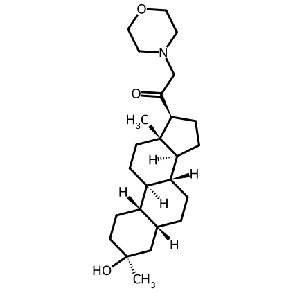 C[C@]1(O)CC[C@H]2[C@H](CC[C@@H]3[C@@H]2CC[C@]2(C)[C@@H](C(=O)CN4CCOCC4)CC[C@@H]32)C1